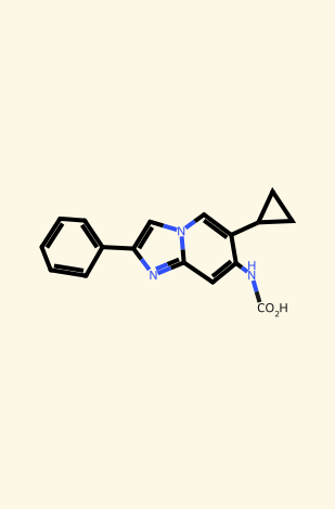 O=C(O)Nc1cc2nc(-c3ccccc3)cn2cc1C1CC1